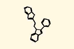 C1=C(CCC2C(c3ccccc3)=Cc3ccccc32)Cc2ccccc21